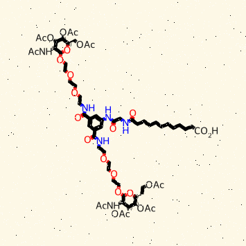 CC(=O)N[C@H]1C(OCCOCCOCCNC(=O)c2cc(NC(=O)CNC(=O)CCCCCCCCCCC(=O)O)cc(C(=O)NCCOCCOCCOC3O[C@H](COC(C)=O)[C@H](OC(C)=O)[C@H](OC(C)=O)[C@H]3NC(C)=O)c2)O[C@H](CCOC(C)=O)[C@H](OC(C)=O)[C@@H]1OC(C)=O